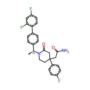 C[C@@H](c1ccc(-c2ccc(F)cc2F)cc1)N1CCC(CC(N)=O)(c2ccc(F)cc2)CC1=O